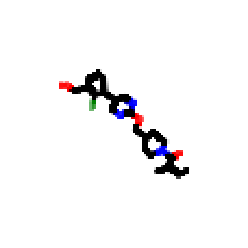 C/C=C(/C)C(=O)N1CCC(COc2ncc(-c3cccc(CO)c3F)cn2)CC1